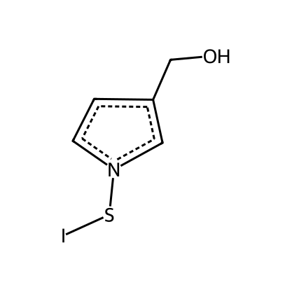 OCc1ccn(SI)c1